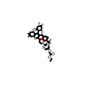 CCOC(=O)COc1cnc(N2CCC(c3nc4c(c(C5CCC(F)(F)CC5)c3C(F)c3ccc(C(F)(F)F)cc3)C(O)CC(C)(C)C4)CC2)nc1